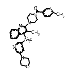 Cc1ccc(C(=O)N2CCN(c3nc4ccccc4c(N(F)c4cncc(N5CCOCC5)c4)c3C)CC2)cn1